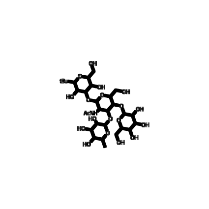 CC(=O)NC1C(OC2C(O)C(CO)OC(C(C)(C)C)C2O)OC(CO)C(OC2OC(CO)C(O)C(O)C2O)C1OC1OC(C)C(O)C(O)C1O